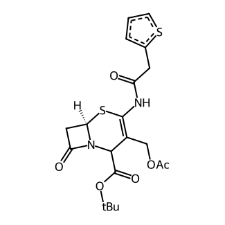 CC(=O)OCC1=C(NC(=O)Cc2cccs2)S[C@@H]2CC(=O)N2C1C(=O)OC(C)(C)C